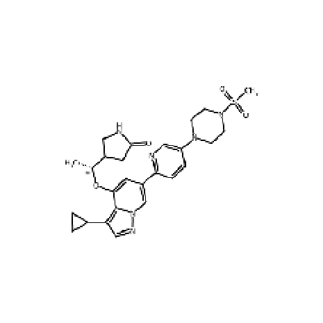 C[C@@H](Oc1cc(-c2ccc(N3CCN(S(C)(=O)=O)CC3)cn2)cn2ncc(C3CC3)c12)C1CNC(=O)C1